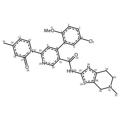 COc1ccc(Cl)cc1-c1cc(-n2ccc(C)cc2=O)ncc1C(=O)Nc1nc2c(s1)CN(C)CC2